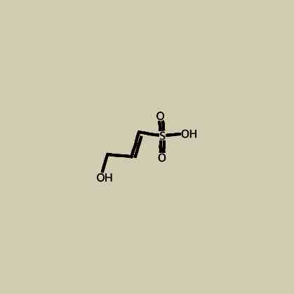 O=S(=O)(O)C=CCO